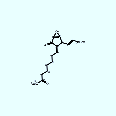 CCCCCC/C=C/C1C2=C(O2)C(=O)/C1=C\CCCCCC(=O)OC